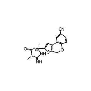 CN1C(=N)N[C@](C)(c2cc3c(s2)COc2ccc(C#N)cc2-3)CC1=O